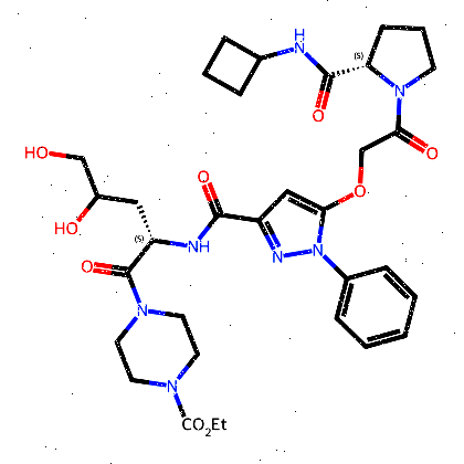 CCOC(=O)N1CCN(C(=O)[C@H](CC(O)CO)NC(=O)c2cc(OCC(=O)N3CCC[C@H]3C(=O)NC3CCC3)n(-c3ccccc3)n2)CC1